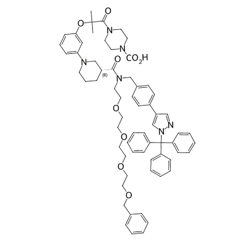 CC(C)(Oc1cccc(N2CCC[C@@H](C(=O)N(CCOCCOCCOCCOCc3ccccc3)Cc3ccc(-c4cnn(C(c5ccccc5)(c5ccccc5)c5ccccc5)c4)cc3)C2)c1)C(=O)N1CCN(C(=O)O)CC1